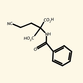 N#CCCC(NC(=O)c1ccccc1)(C(=O)O)C(=O)O